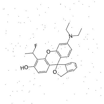 CCN(CC)c1ccc2c(c1)Oc1c(ccc(O)c1C(C)F)C21OCc2ccccc21